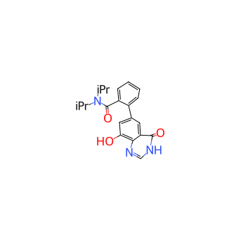 CC(C)N(C(=O)c1ccccc1-c1cc(O)c2nc[nH]c(=O)c2c1)C(C)C